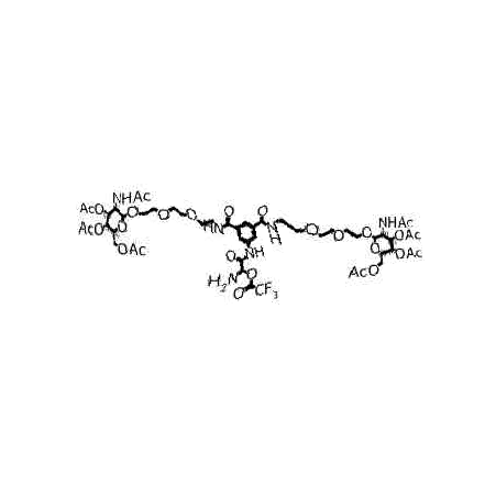 CC(=O)N[C@@H]1C(OCCOCCOCCNC(=O)c2cc(NC(=O)C(N)OC(=O)C(F)(F)F)cc(C(=O)NCCOCCOCCOC3O[C@H](COC(C)=O)[C@H](OC(C)=O)[C@H](OC(C)=O)[C@H]3NC(C)=O)c2)O[C@@H](COC(C)=O)[C@@H](OC(C)=O)[C@H]1OC(C)=O